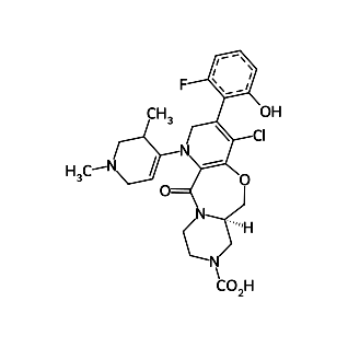 CC1CN(C)CC=C1N1CC(c2c(O)cccc2F)=C(Cl)C2=C1C(=O)N1CCN(C(=O)O)C[C@@H]1CO2